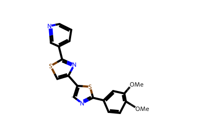 COc1ccc(-c2n[c]c(-c3csc(-c4cccnc4)n3)s2)cc1OC